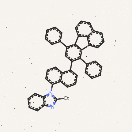 CCc1nc2ccccc2n1-c1cccc2c(-c3cc(-c4ccccc4)c4c(c3-c3ccccc3)-c3cccc5cccc-4c35)cccc12